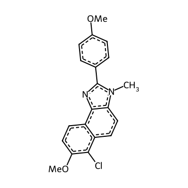 COc1ccc(-c2nc3c4ccc(OC)c(Cl)c4ccc3n2C)cc1